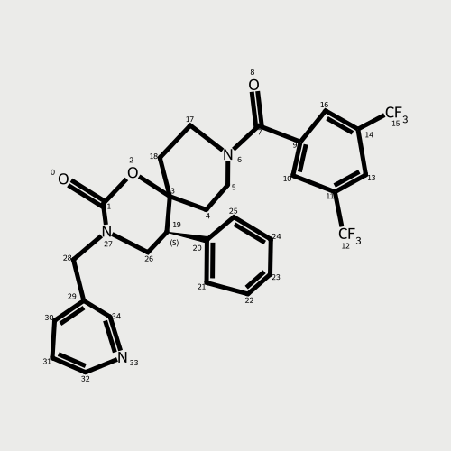 O=C1OC2(CCN(C(=O)c3cc(C(F)(F)F)cc(C(F)(F)F)c3)CC2)[C@@H](c2ccccc2)CN1Cc1cccnc1